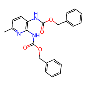 Cc1ccc(NC(=O)OCc2ccccc2)c(NC(=O)OCc2ccccc2)n1